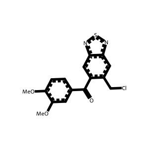 COc1ccc(C(=O)c2cc3nsnc3cc2CCl)cc1OC